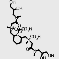 CN(CC(O)CO)C(=O)C[N+](C)(CC1CCCC(C[N+](C)(CC(=O)N(C)CC(O)CO)C(=O)O)N1CC(=O)O)C(=O)O